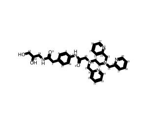 O=C(Cc1ccc(NC(=O)CN(CCN(Cc2ccccn2)Cc2ccccn2)Cc2ccccn2)cc1)NCC(O)CO